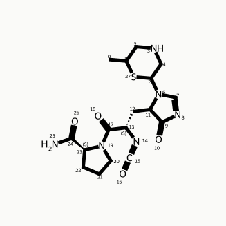 CC1CNCC(N2C=NC(=O)C2C[C@H](N=C=O)C(=O)N2CCC[C@H]2C(N)=O)S1